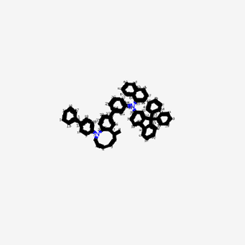 C=C1/C=C\C=C/CN(c2ccc(-c3ccccc3)cc2)c2ccc(-c3cccc(N(c4ccc5c(c4)C(c4ccccc4)(c4ccccc4)c4ccccc4-5)c4cccc5ccccc45)c3)cc21